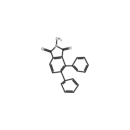 CN1C(=O)c2ccc(-c3ccccc3)c(-c3ccccc3)c2C1=O